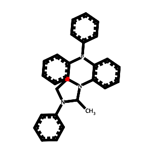 CC1N(c2ccccc2)CCN1c1ccccc1P(c1ccccc1)c1ccccc1